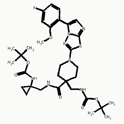 COc1cc(F)ccc1-c1cnc2sc(N3CCC(CNC(=O)OC(C)(C)C)(C(=O)NCC4(NC(=O)OC(C)(C)C)CC4)CC3)nn12